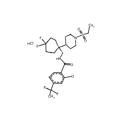 CCS(=O)(=O)N1CCN(C2(CNC(=O)c3ccc(C(C)(F)F)cc3Cl)CCC(F)(F)CC2)CC1.Cl